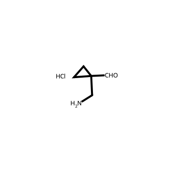 Cl.NCC1(C=O)CC1